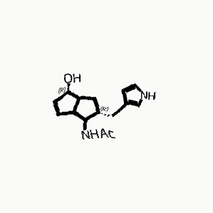 CC(=O)NC1C2CC[C@@H](O)C2C[C@@H]1Cc1cc[nH]c1